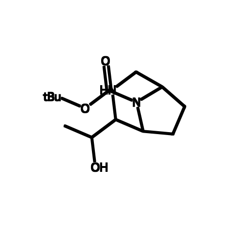 CC(O)C1NCC2CCC1N2C(=O)OC(C)(C)C